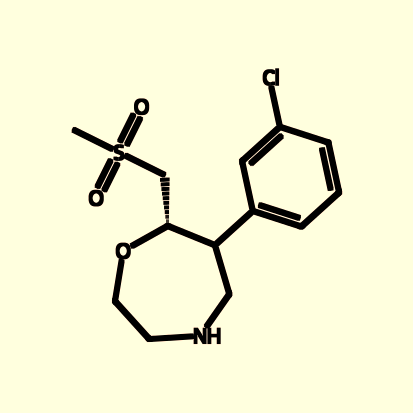 CS(=O)(=O)C[C@H]1OCCNCC1c1cccc(Cl)c1